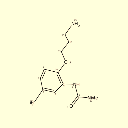 CNC(=O)Nc1cc(C(C)C)ccc1OCCCN